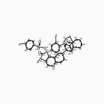 Cc1ccc(S(=O)(=O)O[N+]2(c3ccc(N4CCCC4=O)c(F)c3)C(=O)N(C)c3cnc4ccc(-c5cnc6ccccc6c5)cc4c32)cc1